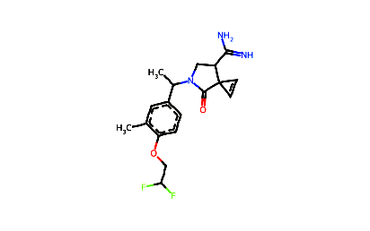 Cc1cc(C(C)N2CC(C(=N)N)C3(C=C3)C2=O)ccc1OCC(F)F